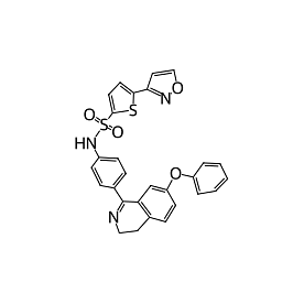 O=S(=O)(Nc1ccc(C2=NCCc3ccc(Oc4ccccc4)cc32)cc1)c1ccc(-c2ccon2)s1